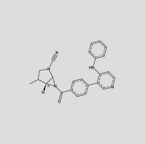 CC1CN(C#N)C2[C@@H]1N2C(=O)c1ccc(-c2cnccc2Nc2ccccc2)cc1